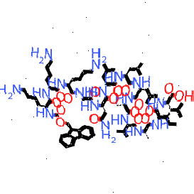 CC[C@H](C)[C@H](NC(=O)[C@H](C)NC(=O)[C@@H](NC(=O)[C@H](C)NC(=O)[C@H](CC(C)C)NC(=O)[C@H](CC(C)C)NC(=O)[C@H](CC(C)C)NC(=O)[C@H](CC(N)=O)NC(=O)CNC(=O)[C@H](CCCCN)NC(=O)[C@H](CCCCN)NC(=O)[C@H](CCCCN)NC(=O)OCC1c2ccccc2-c2ccccc21)C(C)C)C(=O)N[C@@H](CC(C)C)C(=O)O